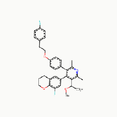 Cc1nc(C)c([C@H](OC(C)(C)C)C(=O)O)c(-c2cc(F)c3c(c2)CCCO3)c1-c1ccc(OCCc2ccc(F)cc2)cc1